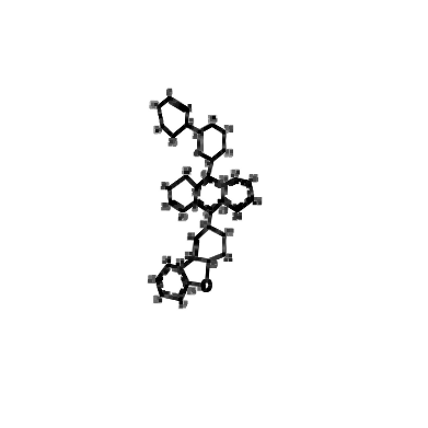 C1=CC(C2=CC(c3c4c(c(C5C=C6c7ccccc7OC6CC5)c5ccccc35)C=CCC4)CCC2)CCC1